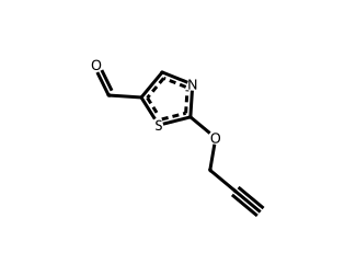 C#CCOc1ncc(C=O)s1